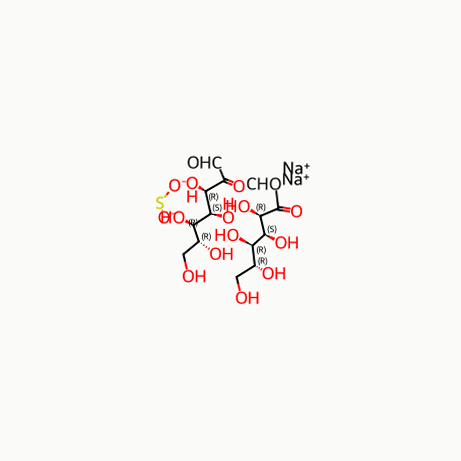 O=CC(=O)[C@H](O)[C@@H](O)[C@H](O)[C@H](O)CO.O=CC(=O)[C@H](O)[C@@H](O)[C@H](O)[C@H](O)CO.[Na+].[Na+].[O-]S[O-]